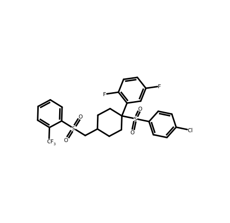 O=S(=O)(CC1CCC(c2cc(F)ccc2F)(S(=O)(=O)c2ccc(Cl)cc2)CC1)c1ccccc1C(F)(F)F